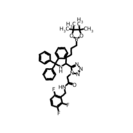 CC1(C)OB(CCCCC(NC(c2ccccc2)(c2ccccc2)c2ccccc2)c2nnnn2CC(=O)NCc2c(F)ccc(F)c2F)OC1(C)C